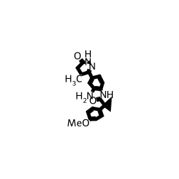 COc1ccc(C2(C(=O)Nc3ccc(C4=NNC(=O)CC4C)cc3N)CC2)cc1